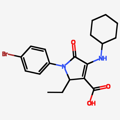 CCC1C(C(=O)O)=C(NC2CCCCC2)C(=O)N1c1ccc(Br)cc1